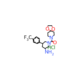 Cl.NC1CC(c2ccc(C(F)(F)F)cc2)CN(C(=O)N2CCC3(CC2)OCCO3)C1